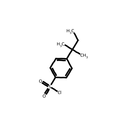 C[CH]C(C)(C)c1ccc(S(=O)(=O)Cl)cc1